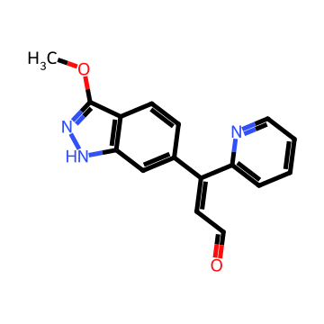 COc1n[nH]c2cc(C(=CC=O)c3ccccn3)ccc12